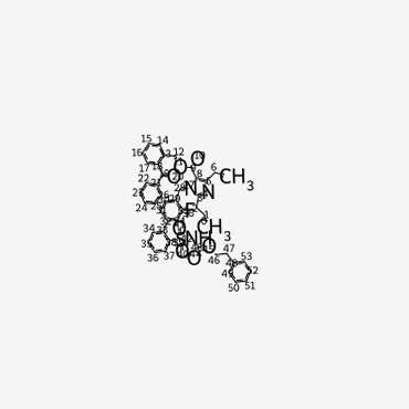 CCCc1nc(CC)c(C(=O)OCc2ccccc2C(=O)c2ccccc2)n1Cc1ccc(-c2ccccc2S(=O)(=O)NC(=O)OCCc2ccccc2)cc1F